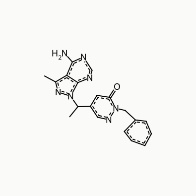 Cc1nn(C(C)c2cnn(Cc3ccccc3)c(=O)c2)c2ncnc(N)c12